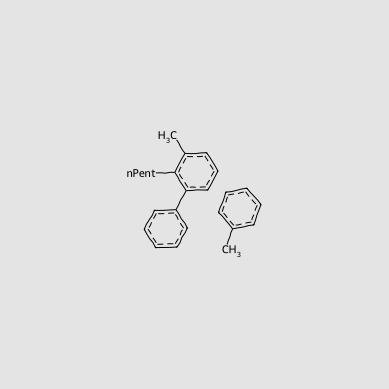 CCCCCc1c(C)cccc1-c1ccccc1.Cc1ccccc1